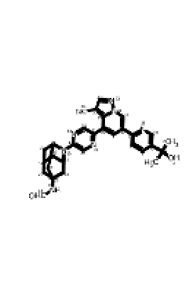 CC(C)(O)c1ccc(-c2cc(-c3cnc(N4C5CC6CC4CC(NC=O)(C6)C5)cn3)c3c(C#N)cnn3c2)nc1